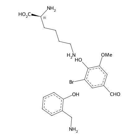 COc1cc(C=O)cc(Br)c1O.NCCCC[C@H](N)C(=O)O.NCc1ccccc1O